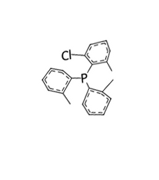 Cc1ccccc1P(c1ccccc1C)c1c(C)cccc1Cl